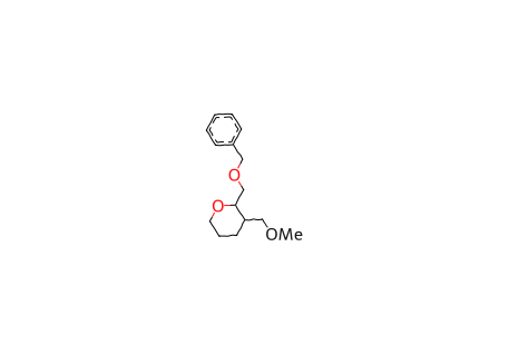 COCC1CCCOC1COCc1ccccc1